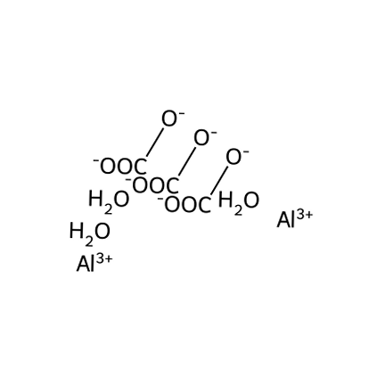 O.O.O.O=C([O-])[O-].O=C([O-])[O-].O=C([O-])[O-].[Al+3].[Al+3]